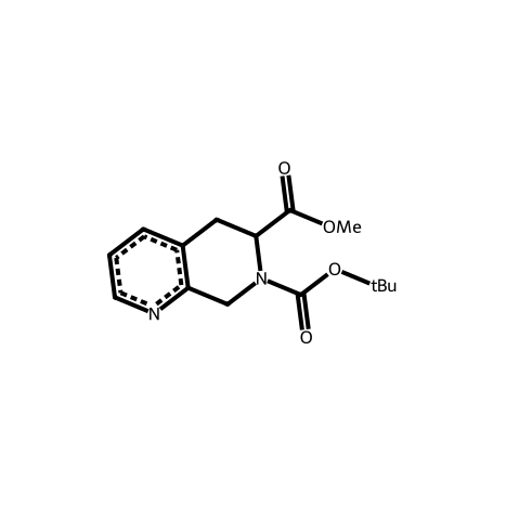 COC(=O)C1Cc2cccnc2CN1C(=O)OC(C)(C)C